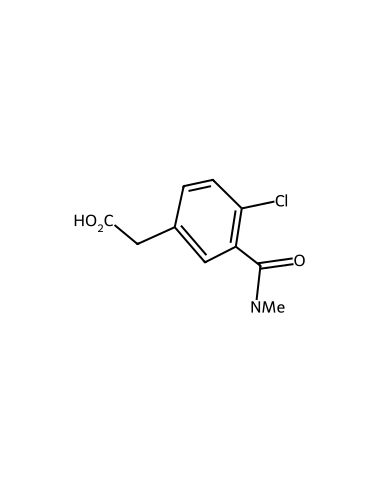 CNC(=O)c1cc(CC(=O)O)ccc1Cl